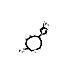 Cc1cn(C2CCCCCC(C)CCCC2)cn1